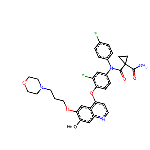 COc1cc2nccc(Oc3ccc(N(C(=O)C4(C(N)=O)CC4)c4ccc(F)cc4)cc3F)c2cc1OCCCN1CCOCC1